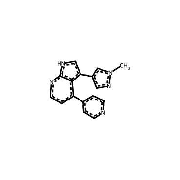 Cn1cc(-c2c[nH]c3nccc(-c4ccncc4)c23)cn1